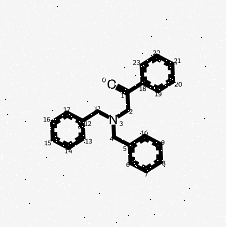 O=C(CN(Cc1ccccc1)Cc1ccccc1)c1cc[c]cc1